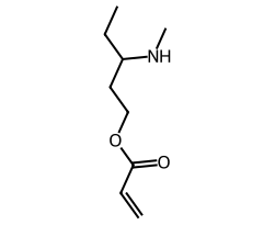 C=CC(=O)OCCC(CC)NC